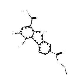 CCOC(=O)c1ccc2c(c1)[nH]c1c(C(N)=O)cc(F)c(Br)c12